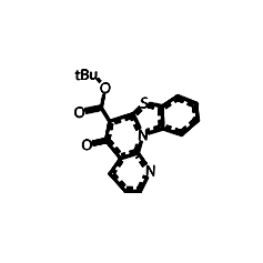 CC(C)(C)OC(=O)c1c(=O)c2cccnc2n2c1sc1ccccc12